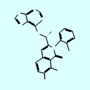 C[C@H](Nc1ncnc2[nH]cnc12)c1cc2ccc(F)c(Cl)c2c(=O)n1-c1ccccc1F